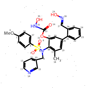 COc1ccc(S(=O)(=O)N(Cc2cccnc2)c2c(C)cc(-c3ccccc3C=NO)cc2OC(=O)NO)cc1